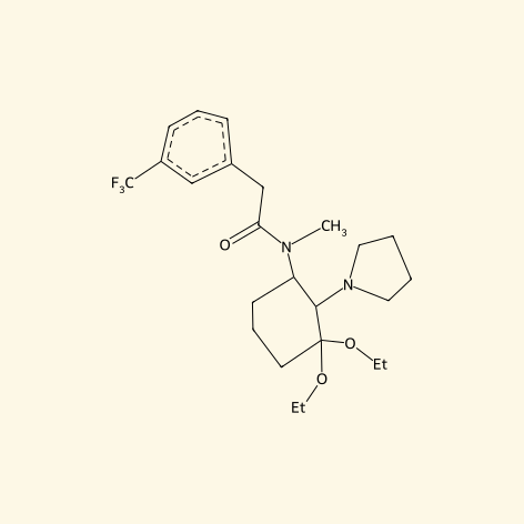 CCOC1(OCC)CCCC(N(C)C(=O)Cc2cccc(C(F)(F)F)c2)C1N1CCCC1